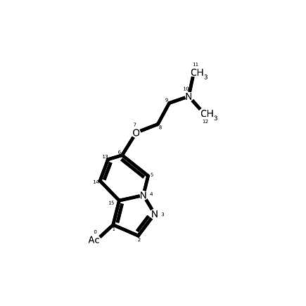 CC(=O)c1cnn2cc(OCCN(C)C)ccc12